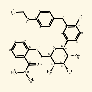 CCOc1ccc(Cc2cc([C@@H]3O[C@H](CSc4ccccc4C(=O)N(C)C)[C@@H](O)[C@H](O)[C@H]3O)ccc2Cl)cc1